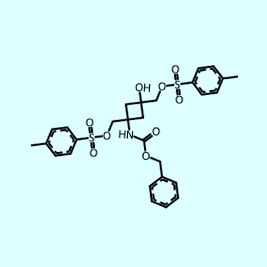 Cc1ccc(S(=O)(=O)OCC2(O)CC(COS(=O)(=O)c3ccc(C)cc3)(NC(=O)OCc3ccccc3)C2)cc1